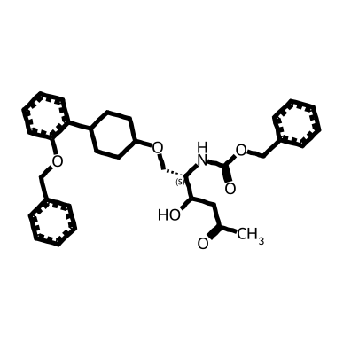 CC(=O)CC(O)[C@H](COC1CCC(c2ccccc2OCc2ccccc2)CC1)NC(=O)OCc1ccccc1